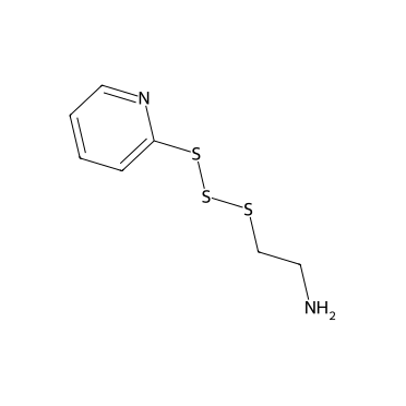 NCCSSSc1ccccn1